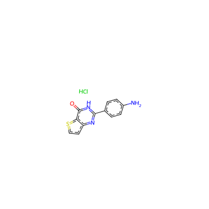 Cl.Nc1ccc(-c2nc3ccsc3c(=O)[nH]2)cc1